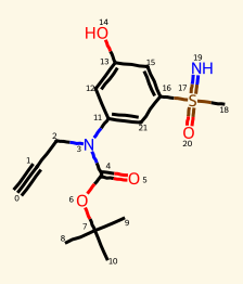 C#CCN(C(=O)OC(C)(C)C)c1cc(O)cc(S(C)(=N)=O)c1